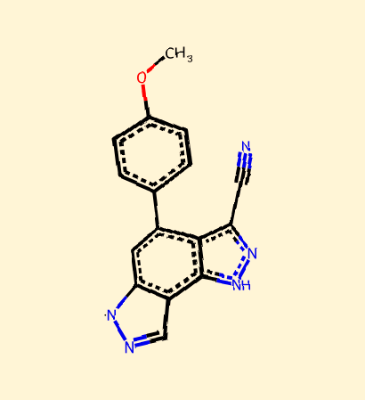 COc1ccc(-c2cc3c(c4[nH]nc(C#N)c24)C=N[N]3)cc1